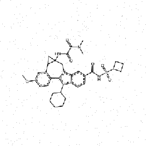 COc1ccc2c(c1)C1CC1(NC(=O)C(=O)N(C)C)Cn1c-2c(C2CCCCC2)c2ccc(C(=O)NS(=O)(=O)C3CCC3)cc21